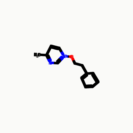 Cc1cc[n+](OCCc2ccccc2)cn1